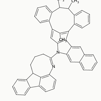 Cc1c2cc3c(c1-c1ccccc1C(C)C(C)c1ccccc1-2)c1cc2ccccc2cc1n3/C1=N/c2cccc3c2C(CCC1)c1ccccc1-3